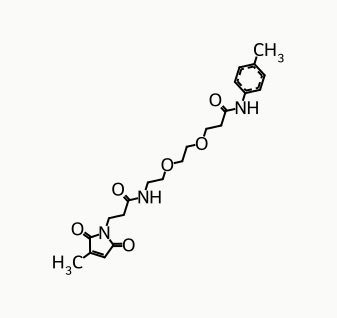 CC1=CC(=O)N(CCC(=O)NCCOCCOCCC(=O)Nc2ccc(C)cc2)C1=O